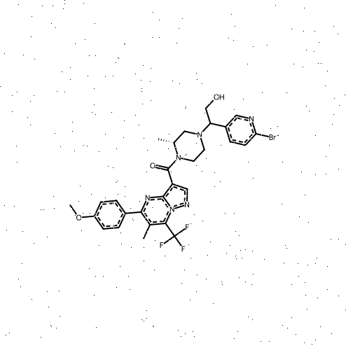 COc1ccc(-c2nc3c(C(=O)N4CCN(C(CO)c5ccc(Br)nc5)C[C@H]4C)cnn3c(C(F)(F)F)c2C)cc1